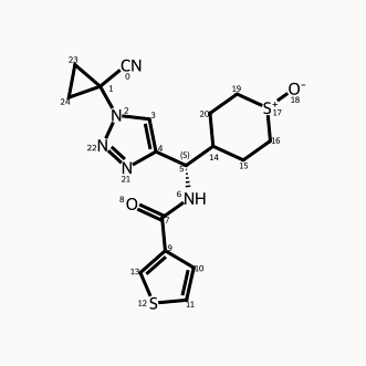 N#CC1(n2cc([C@@H](NC(=O)c3ccsc3)C3CC[S+]([O-])CC3)nn2)CC1